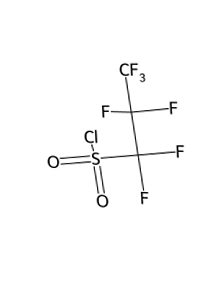 O=S(=O)(Cl)C(F)(F)C(F)(F)C(F)(F)F